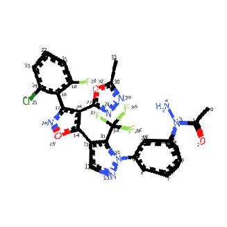 CC(=O)N(N)c1cccc(-n2ncc(-c3onc(-c4c(F)cccc4Cl)c3-c3nnc(C)o3)c2C(F)(F)F)c1